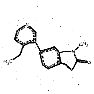 CCc1ccncc1-c1ccc2c(c1)N(C)C(=O)C2